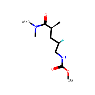 CON(C)C(=O)[C@@H](C)C[C@@H](F)CNC(=O)OC(C)(C)C